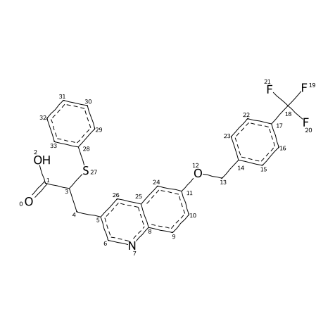 O=C(O)C(Cc1cnc2ccc(OCc3ccc(C(F)(F)F)cc3)cc2c1)Sc1ccccc1